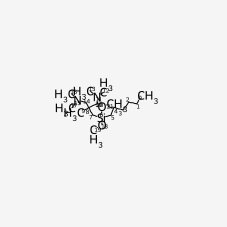 CCCCCC[Si](CC(C)(CN(C)C)CN(C)C)(OC)OC